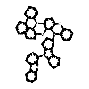 c1ccc(-c2ccccc2B2c3ccccc3Oc3c2ccc2c3B(c3ccc4c(c3)c3ccccc3n4-c3nccc4c3sc3ccccc34)c3ccccc3O2)cc1